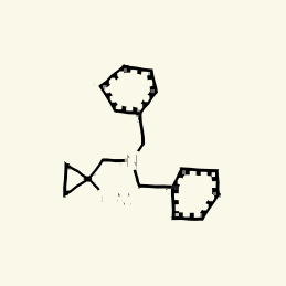 COC1(CN(Cc2ccccc2)Cc2ccccc2)CC1